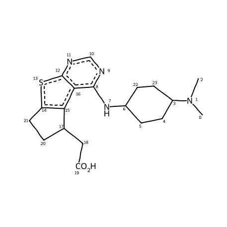 CN(C)C1CCC(Nc2ncnc3sc4c(c23)C(CC(=O)O)CC4)CC1